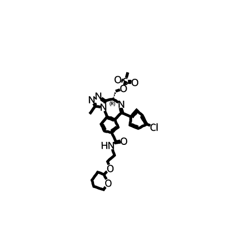 Cc1nnc2n1-c1ccc(C(=O)NCCOC3CCCCO3)cc1C(c1ccc(Cl)cc1)=N[C@H]2COS(C)(=O)=O